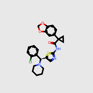 O=C(Nc1ncc([C@H](c2ccccc2Cl)N2CCCCC2)s1)C1(c2ccc3c(c2)OCO3)CC1